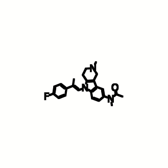 CC(=O)N(C)c1ccc2c(c1)c1c(n2C=C(C)c2ccc(F)cc2)CCN(C)C1